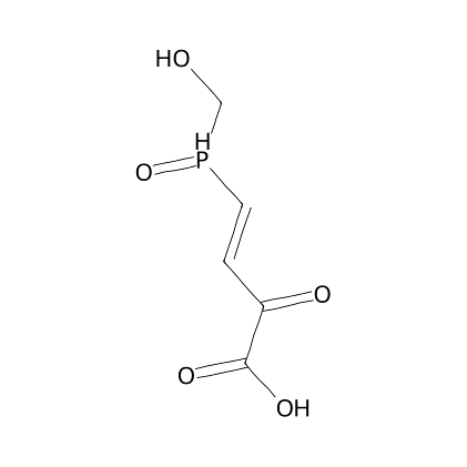 O=C(O)C(=O)C=C[PH](=O)CO